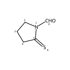 O=CN1CCCC1=S